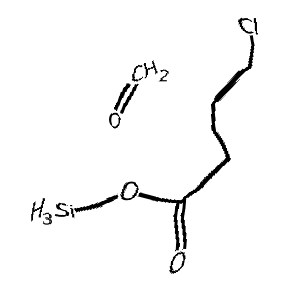 C=O.O=C(CCCCl)O[SiH3]